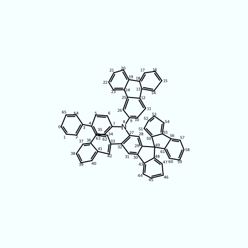 c1ccc(-c2ccc(N(c3ccc4c5ccccc5c5ccccc5c4c3)c3cc4c(cc3-c3ccc5ccccc5c3)-c3ccccc3C43c4ccccc4-c4ccccc43)cc2)cc1